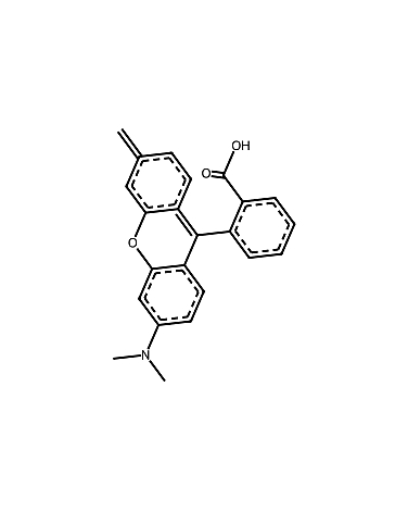 C=c1ccc2c(c1)Oc1cc(N(C)C)ccc1C=2c1ccccc1C(=O)O